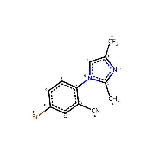 Cc1nc(C(F)(F)F)cn1-c1ccc(Br)cc1C#N